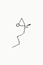 CCCC[C@@]1(C)CO1